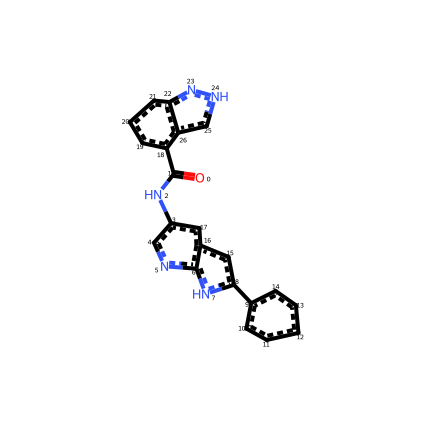 O=C(Nc1cnc2[nH]c(-c3ccccc3)cc2c1)c1cccc2n[nH]cc12